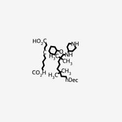 CCCCCCCCCCCCC(C)(C)CCCC(C)(C)C(NC1CCNCC1)OC1CCCCC1.O=C(O)CCCCCCCCC(=O)O